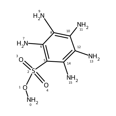 NOS(=O)(=O)c1c(N)c(N)c(N)c(N)c1N